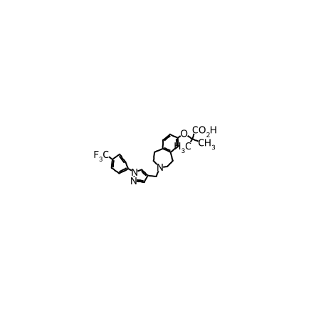 CC(C)(Oc1ccc2c(c1)CCN(Cc1cnn(-c3ccc(C(F)(F)F)cc3)c1)CC2)C(=O)O